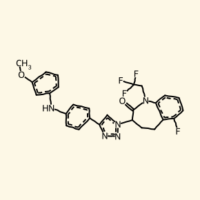 COc1cccc(Nc2ccc(-c3cn(C4CCc5c(F)cccc5N(CC(F)(F)F)C4=O)nn3)cc2)c1